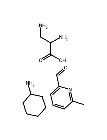 Cc1cccc(C=O)n1.NC1CCCCC1.NCC(N)C(=O)O